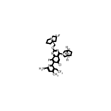 Cc1cc(N)nc(-c2c(Cl)cc3c(N4C[C@H]5CC[C@@H](C4)N5)nc(OC[C@@]45CCCN4C[C@H](F)C5)nc3c2F)c1CC(F)(F)F